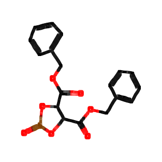 O=C(OCc1ccccc1)C1OS(=O)OC1C(=O)OCc1ccccc1